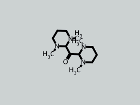 CN1CCCN(C)C1C(=O)C1N(C)CCCN1C